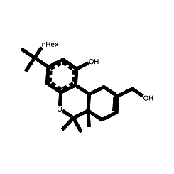 CCCCCCC(C)(C)c1cc(O)c2c(c1)OC(C)(C)C1(C)CC=C(CO)CC21